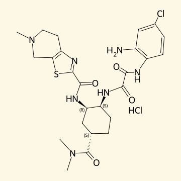 CN1CCc2nc(C(=O)N[C@@H]3C[C@@H](C(=O)N(C)C)CC[C@@H]3NC(=O)C(=O)Nc3ccc(Cl)cc3N)sc2C1.Cl